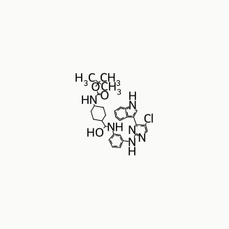 CC(C)(C)OC(=O)NC1CCC(C(O)Nc2cccc(Nc3ncc(Cl)c(-c4c[nH]c5ccccc45)n3)c2)CC1